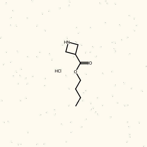 CCCCOC(=O)C1CNC1.Cl